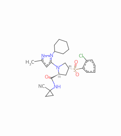 Cc1cc(N2C[C@H](S(=O)(=O)c3ccccc3Cl)C[C@H]2C(=O)NC2(C#N)CC2)n(C2CCCCC2)n1